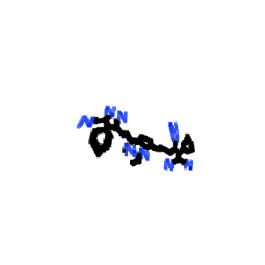 CC/C(=N/C1/C(=C/C=C/C(C#N)=C(\c2ccccc2)C(C#N)C#N)CCC1/C=C/C=C(\C#N)C(=C(C#N)C#N)c1ccccc1)N(C)C